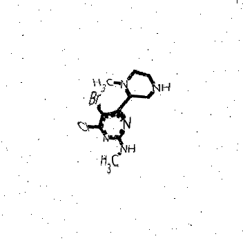 CNc1nc(Cl)c(Br)c(C2CNCCN2C)n1